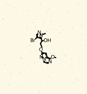 COc1nccn2nc(OCCC(O)c3c(Br)cnn3C)cc12